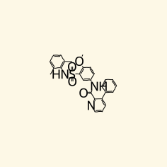 COc1ccc(NC(=O)c2ncccc2-c2ccccc2)cc1S(=O)(=O)Nc1c(C)cccc1C